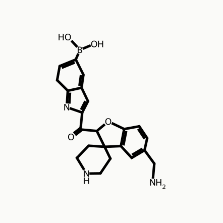 NCc1ccc2c(c1)C1(CCNCC1)C(C(=O)C1=CC3=CC(B(O)O)=CCC3=N1)O2